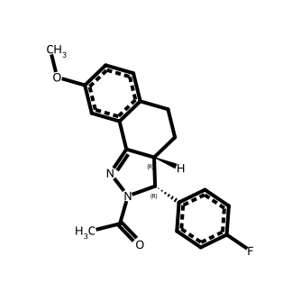 COc1ccc2c(c1)C1=NN(C(C)=O)[C@@H](c3ccc(F)cc3)[C@H]1CC2